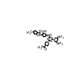 Cc1ccc(C(=O)Nc2ccc(Nc3nc(N4CCC(C(N)=O)CC4)nc(N4C[C@H](N)C[C@H](N)C4)n3)cc2O)cc1